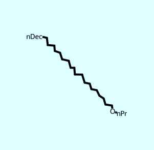 [CH2]CCCCCCCCCCCCCCCCCCCCCCCCCCCCOCCC